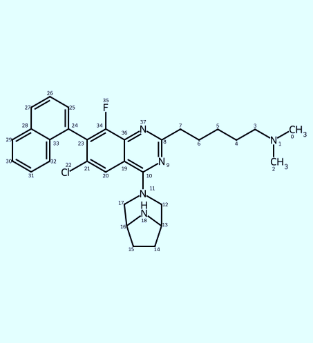 CN(C)CCCCCc1nc(N2CC3CCC(C2)N3)c2cc(Cl)c(-c3cccc4ccccc34)c(F)c2n1